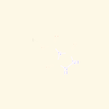 CC(C)(C)OC(=O)n1c(=O)[nH][nH]c1=O